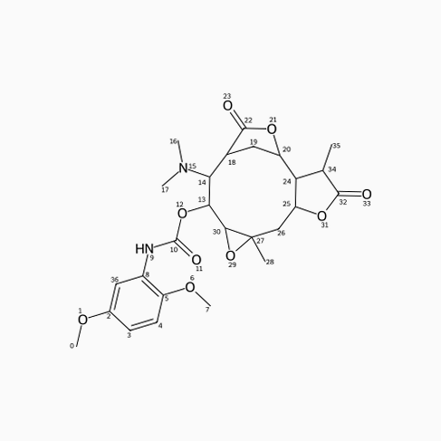 COc1ccc(OC)c(NC(=O)OC2C(N(C)C)C3CC(OC3=O)C3C(CC4(C)OC24)OC(=O)C3C)c1